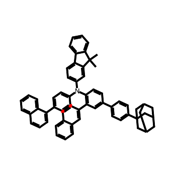 CC1(C)c2ccccc2-c2ccc(N(c3ccc(-c4cccc5ccccc45)cc3)c3ccc(-c4ccc(C56CC7CC(CC(C7)C5)C6)cc4)cc3-c3ccc4ccccc4c3)cc21